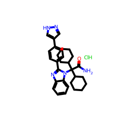 Cl.NC(=O)C(C1CCCCC1)(C1CCCCC1)n1c(-c2ccc(-c3cn[nH]c3)cc2)nc2ccccc21